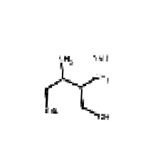 CCCCCC(C)C(C)CO.[NaH]